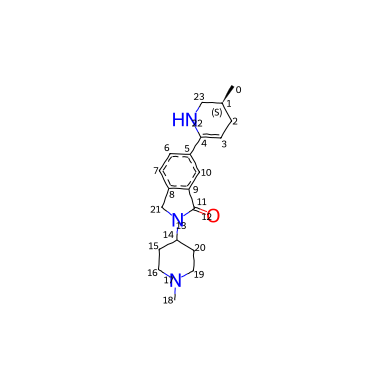 C[C@H]1CC=C(c2ccc3c(c2)C(=O)N(C2CCN(C)CC2)C3)NC1